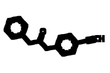 C#Cc1ccc(CC(=O)Cc2ccccc2)cc1